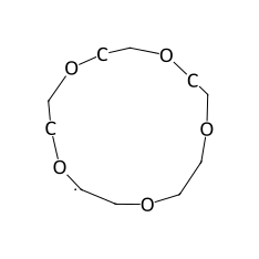 [CH]1COCCOCCOCCOCCO1